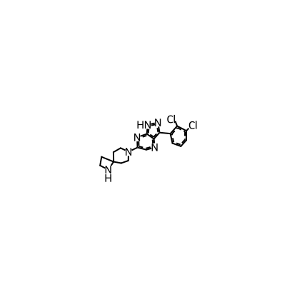 Clc1cccc(-c2n[nH]c3nc(N4CCC5(CCN5)CC4)cnc23)c1Cl